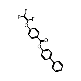 O=C(Oc1ccc(-c2ccccc2)cc1)c1ccc(OC(F)=C(F)F)cc1